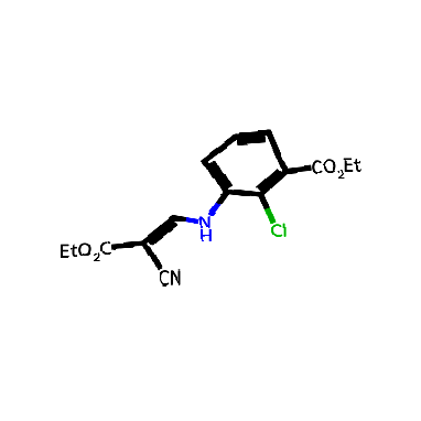 CCOC(=O)C(C#N)=CNc1cccc(C(=O)OCC)c1Cl